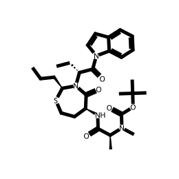 CCC[C@@H]1SCC[C@H](NC(=O)[C@H](C)N(C)C(=O)OC(C)(C)C)C(=O)N1[C@H](CC)C(=O)n1ccc2ccccc21